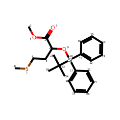 COC(=O)C(CCSC)O[Si](c1ccccc1)(c1ccccc1)C(C)(C)C